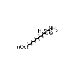 CCCCCCCCCCCCCCCCCC[SiH2]C(N)=O